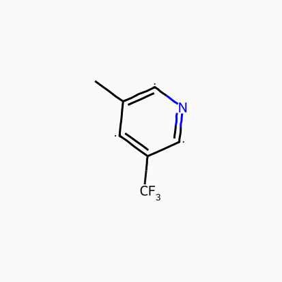 Cc1[c]n[c]c(C(F)(F)F)[c]1